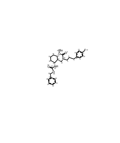 CC(C)(C)OC(=O)N(CCCc1ccc(F)cc1)C[C@@H]1CCCC[C@H]1NC(=O)OCc1ccccc1